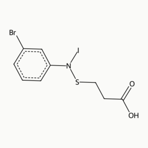 O=C(O)CCSN(I)c1cccc(Br)c1